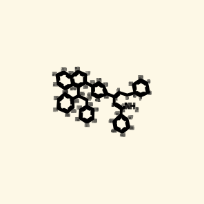 N/C(=C\C(=C/Cc1ccccc1)c1ccc(-c2ccc3ccccc3c2C(Cc2ccccc2)c2ccccc2)cc1)c1ccccc1